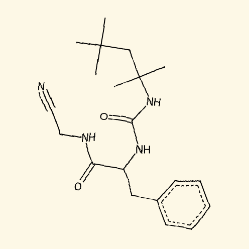 CC(C)(C)CC(C)(C)NC(=O)NC(Cc1ccccc1)C(=O)NCC#N